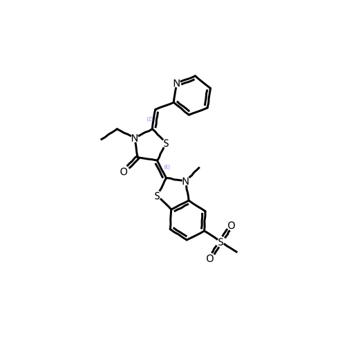 CCn1c(=O)/c(=C2\Sc3ccc(S(C)(=O)=O)cc3N2C)s/c1=C\c1ccccn1